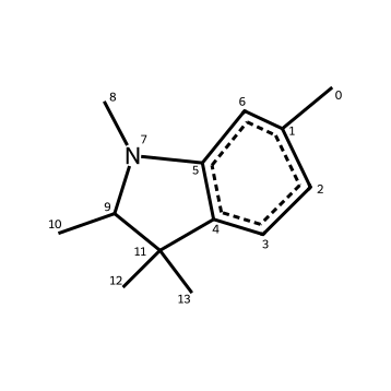 Cc1ccc2c(c1)N(C)C(C)C2(C)C